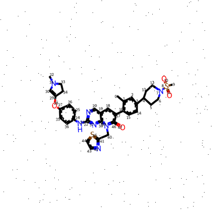 Cc1cc(C2CCN(S(C)(=O)=O)CC2)ccc1-c1cc2cnc(Nc3ccc(OC4=CN(C)CC4)cc3)nc2n(Cc2nccs2)c1=O